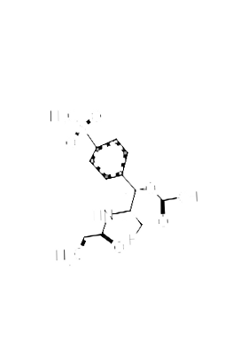 C=CC(=O)N[C@H](CF)[C@H](OC(C)=O)c1ccc(S(C)(=O)=O)cc1